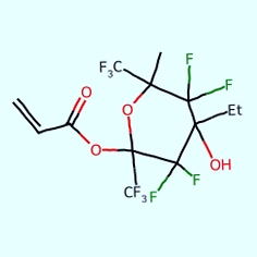 C=CC(=O)OC1(C(F)(F)F)OC(C)(C(F)(F)F)C(F)(F)C(O)(CC)C1(F)F